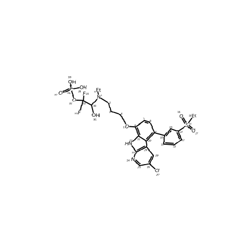 CCN(CCCOc1ccc(-c2cccc(S(=O)(=O)CC)c2)c2c1[nH]c1ncc(Cl)cc12)C(O)C(F)(F)OP(=O)(O)O